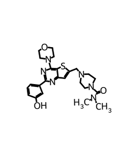 CN(C)C(=O)N1CCN(Cc2cc3nc(-c4cccc(O)c4)nc(N4CCOCC4)c3s2)CC1